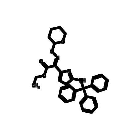 CCOC(=O)C(=NOC1CCCCO1)c1csc(NC(c2ccccc2)(c2ccccc2)c2ccccc2)n1